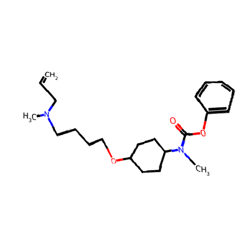 C=CCN(C)CCCCOC1CCC(N(C)C(=O)Oc2ccccc2)CC1